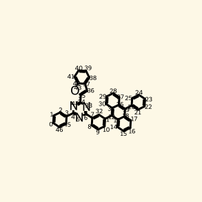 c1ccc(-c2nc(-c3cccc(-c4c5ccccc5c(-c5ccccc5)c5ccccc45)c3)nc(-c3cc4ccccc4o3)n2)cc1